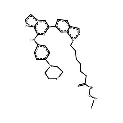 O=C(CCCCCCn1ncc2ccc(-c3cn4ccnc4c(Nc4ccc(N5CCOCC5)cc4)n3)cc21)NOPI